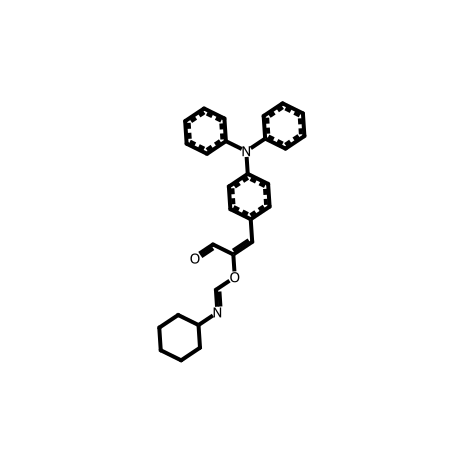 O=C/C(=C\c1ccc(N(c2ccccc2)c2ccccc2)cc1)O/C=N/C1CCCCC1